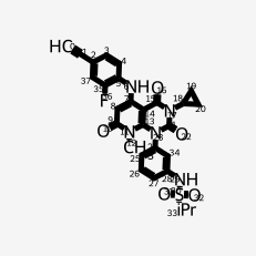 C#Cc1ccc(Nc2cc(=O)n(C)c3c2c(=O)n(C2CC2)c(=O)n3-c2cccc(NS(=O)(=O)C(C)C)c2)c(F)c1